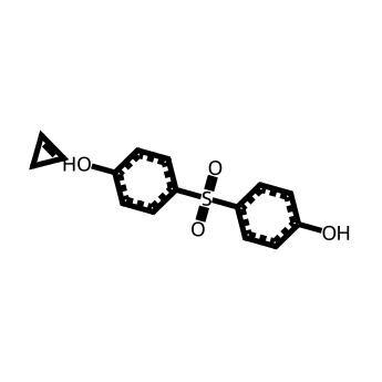 C1=CC1.O=S(=O)(c1ccc(O)cc1)c1ccc(O)cc1